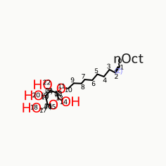 CCCCCCCC/C=C\CCCCCCCCO[C@H]1C(O)O[C@H](CO)[C@@H](O)[C@@H]1O